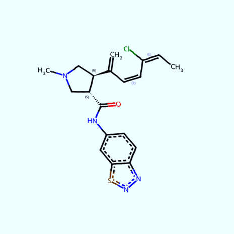 C=C(/C=C\C(Cl)=C/C)[C@@H]1CN(C)C[C@H]1C(=O)Nc1ccc2nnsc2c1